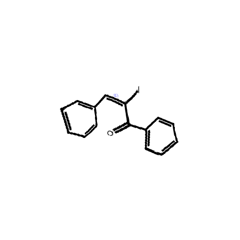 O=C(/C(I)=C\c1ccccc1)c1ccccc1